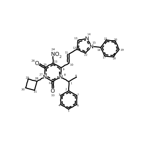 CC(c1ccccc1)n1c(C=Cc2cnn(-c3ccccc3)c2)c([N+](=O)[O-])c(=O)n(C2CCC2)c1=O